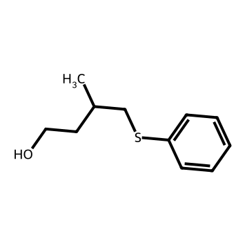 CC(CCO)CSc1ccccc1